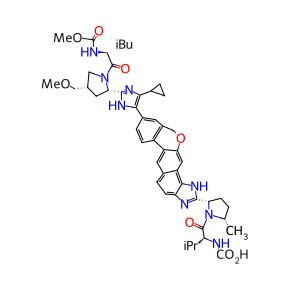 CC[C@H](C)[C@H](NC(=O)OC)C(=O)N1C[C@@H](COC)C[C@H]1c1nc(C2CC2)c(-c2ccc3c(c2)COc2cc4c(ccc5nc([C@@H]6CC[C@H](C)N6C(=O)[C@@H](NC(=O)O)C(C)C)[nH]c54)cc2-3)[nH]1